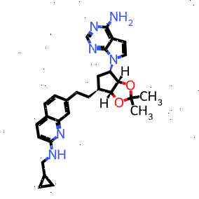 CC1(C)O[C@@H]2[C@@H](CCc3ccc4ccc(NCC5CC5)nc4c3)C[C@@H](n3ccc4c(N)ncnc43)[C@@H]2O1